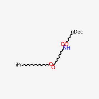 CCCCCCCCCCCCCCCCOC(=O)NCCCCCCCCCCC(=O)OCCCCCCCCCCCCCCCC(C)C